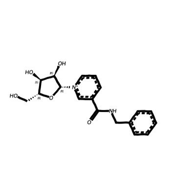 O=C(NCc1ccccc1)c1ccc[n+]([C@@H]2O[C@H](CO)[C@@H](O)[C@H]2O)c1